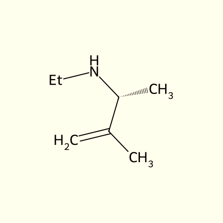 C=C(C)[C@@H](C)NCC